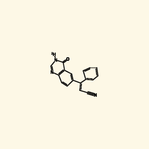 [2H]n1cnc2ccc(C(=CC#N)c3ccccc3)cc2c1=O